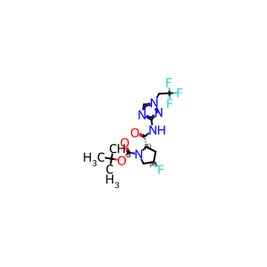 CC(C)(C)OC(=O)N1C[C@H](F)C[C@H]1C(=O)Nc1ncn(CC(F)(F)F)n1